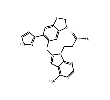 NC(=O)CCn1c(Sc2cc3c(cc2-c2cc[nH]n2)OCO3)nc2c(N)ncnc21